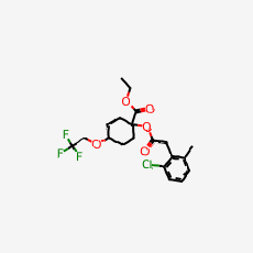 CCOC(=O)C1(OC(=O)Cc2c(C)cccc2Cl)CCC(OCC(F)(F)F)CC1